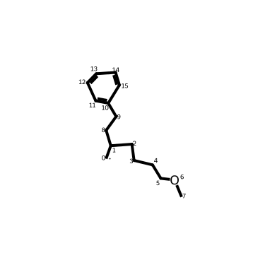 [CH2]C(CCCCOC)CCc1ccccc1